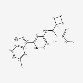 COC(=O)CC(Nc1nc(-c2c[nH]c3ncc(F)cc23)ncc1F)C1CCC1